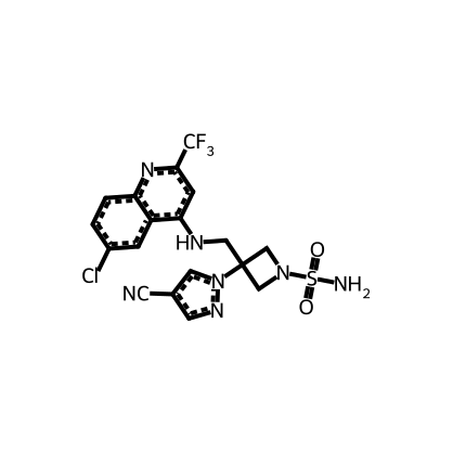 N#Cc1cnn(C2(CNc3cc(C(F)(F)F)nc4ccc(Cl)cc34)CN(S(N)(=O)=O)C2)c1